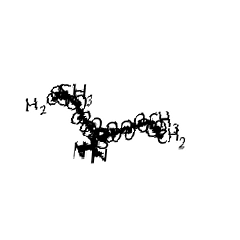 C=CC(=O)OC(C)COC(=O)CCC(=O)OCCOC(=O)Oc1ccc(OC(=O)OCCOC(=O)CCC(=O)OCC(C)OC(=O)C=C)c2c1SC(=C(C#N)C#N)S2